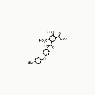 CNC(=O)c1cc(C(=O)Nc2ccc(Oc3ccc(C(C)(C)C)cc3)cc2)c(C(=O)O)cc1C(=O)O